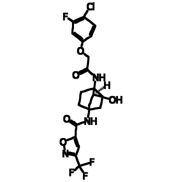 O=C(COc1ccc(Cl)c(F)c1)NC12CCC(NC(=O)c3cc(C(F)(F)F)no3)(CC1)C[C@@H]2O